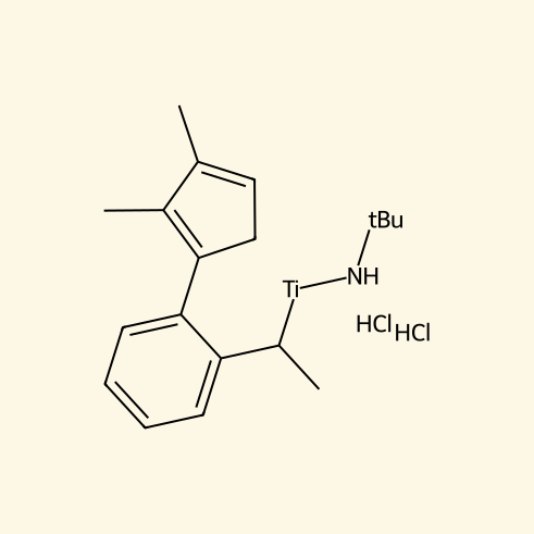 CC1=CCC(c2ccccc2[CH](C)[Ti][NH]C(C)(C)C)=C1C.Cl.Cl